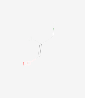 OC=C(Cl)CCl